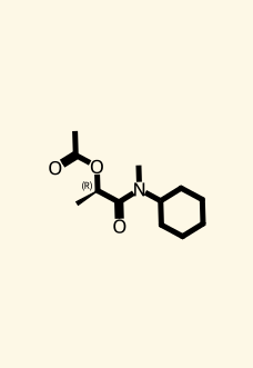 CC(=O)O[C@H](C)C(=O)N(C)C1CCCCC1